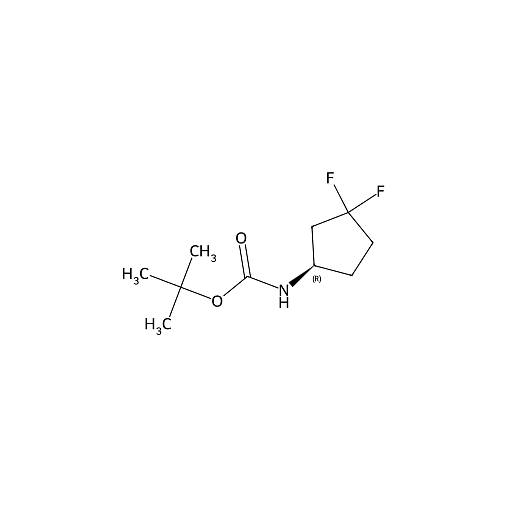 CC(C)(C)OC(=O)N[C@@H]1CCC(F)(F)C1